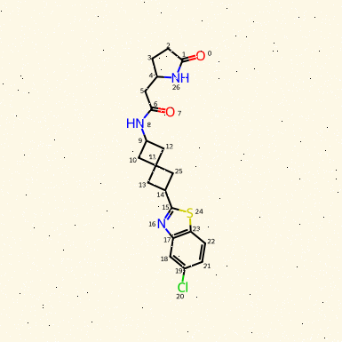 O=C1CCC(CC(=O)NC2CC3(C2)CC(c2nc4cc(Cl)ccc4s2)C3)N1